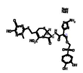 Cn1nc(O)c(=O)nc1SCC1=C(C(=O)O)N2C(=O)[C@@H](NC(=O)/C(=N\OCS(=O)(=O)c3ccc(O)c(O)c3)c3csc(N)n3)[C@H]2SC1.[NaH].[NaH]